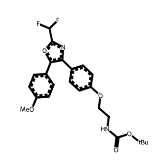 COc1ccc(-c2oc(C(F)F)nc2-c2ccc(OCCNC(=O)OC(C)(C)C)cc2)cc1